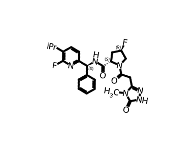 CC(C)c1ccc([C@@H](NC(=O)[C@@H]2C[C@@H](F)CN2C(=O)Cc2n[nH]c(=O)n2C)c2ccccc2)nc1F